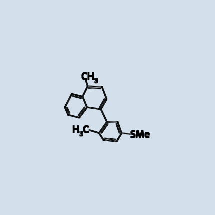 CSc1ccc(C)c(-c2ccc(C)c3ccccc23)c1